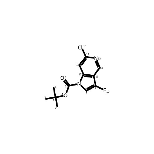 CC(C)(C)OC(=O)n1cc(F)c2cnc(Cl)cc21